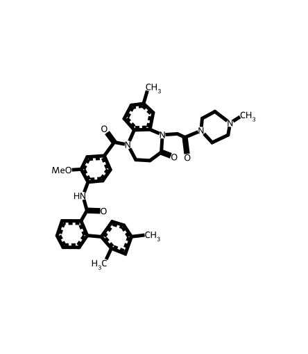 COc1cc(C(=O)N2CCC(=O)N(CC(=O)N3CCN(C)CC3)c3cc(C)ccc32)ccc1NC(=O)c1ccccc1-c1ccc(C)cc1C